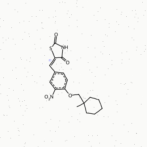 CC1(COc2ccc(/C=C3/SC(=O)NC3=O)cc2[N+](=O)[O-])CCCCC1